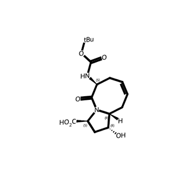 CC(C)(C)OC(=O)N[C@H]1CC=CC[C@@H]2[C@H](O)C[C@@H](C(=O)O)N2C1=O